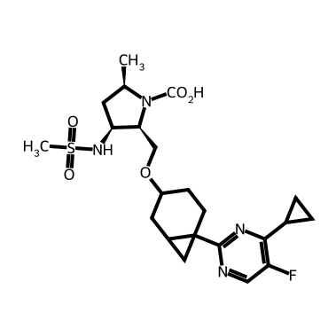 C[C@@H]1C[C@H](NS(C)(=O)=O)[C@H](COC2CCC3(c4ncc(F)c(C5CC5)n4)CC3C2)N1C(=O)O